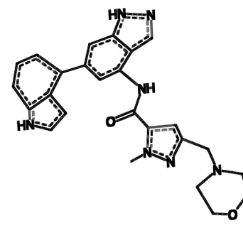 Cn1nc(CN2CCOCC2)cc1C(=O)Nc1cc(-c2cccc3[nH]ccc23)cc2[nH]ncc12